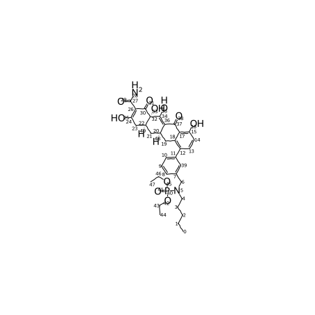 CCCCCN(Cc1cccc(-c2ccc(O)c3c2C[C@H]2C[C@H]4CC(O)=C(C(N)=O)C(=O)[C@@]4(O)C(O)=C2C3=O)c1)P(=O)(OCC)OCC